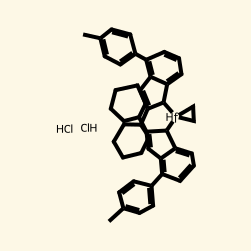 Cc1ccc(-c2cccc3c2C=C(C2CCCCC2)[CH]3[Hf]2([CH]3C(C4CCCCC4)=Cc4c(-c5ccc(C)cc5)cccc43)[CH2][CH2]2)cc1.Cl.Cl